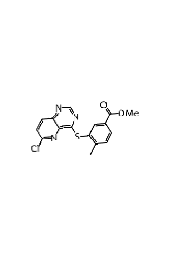 COC(=O)c1ccc(C)c(Sc2ncnc3ccc(Cl)nc23)c1